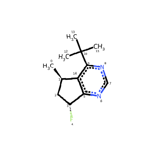 C[C@@H]1C[C@@H](F)c2ncnc(C(C)(C)C)c21